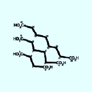 O=C(O)CCC(=O)O.O=C(O)CCCCC(=O)O.O=C(O)CCCCCCC(=O)O